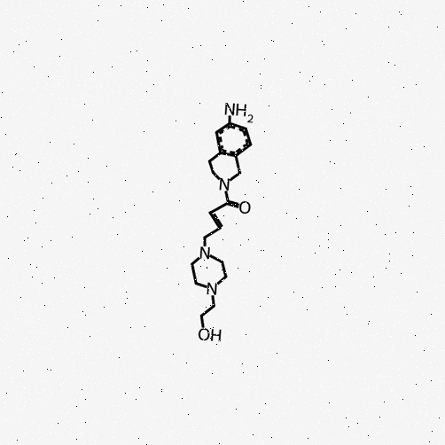 Nc1ccc2c(c1)CCN(C(=O)/C=C/CN1CCN(CCO)CC1)C2